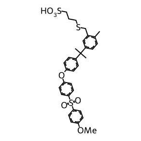 COc1ccc(S(=O)(=O)c2ccc(Oc3ccc(C(C)(C)c4ccc(C)c(CSCCCS(=O)(=O)O)c4)cc3)cc2)cc1